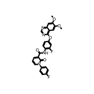 COc1cc2ncnc(Oc3ccc(NC(=O)c4cccn(-c5ccc(F)cc5)c4=O)c(F)c3)c2cc1OC